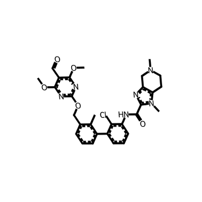 COc1nc(OCc2cccc(-c3cccc(NC(=O)c4nc5c(n4C)CCN(C)C5)c3Cl)c2C)nc(OC)c1C=O